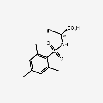 Cc1cc(C)c(S(=O)(=O)N[C@H](C(=O)O)C(C)C)c(C)c1